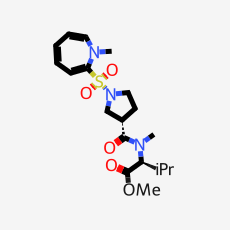 COC(=O)[C@H](C(C)C)N(C)C(=O)[C@H]1CCN(S(=O)(=O)C2=CC=CC=CN2C)C1